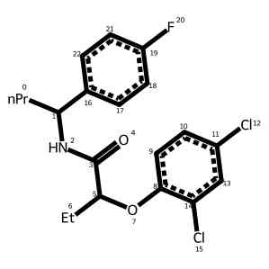 CCCC(NC(=O)C(CC)Oc1ccc(Cl)cc1Cl)c1ccc(F)cc1